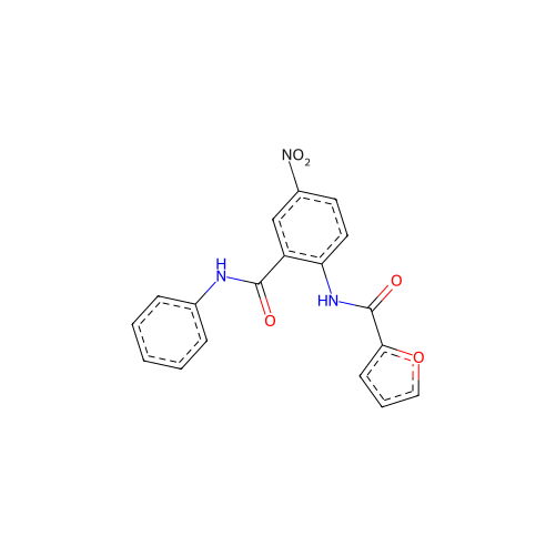 O=C(Nc1ccc([N+](=O)[O-])cc1C(=O)Nc1ccccc1)c1ccco1